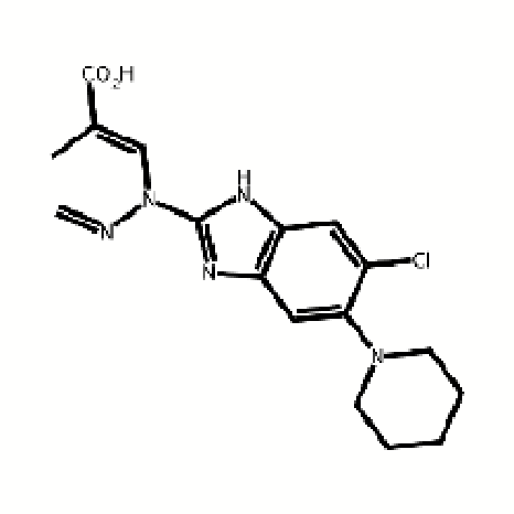 C=NN(/C=C(\C)C(=O)O)c1nc2cc(N3CCCCC3)c(Cl)cc2[nH]1